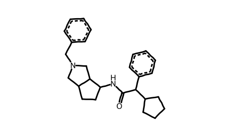 O=C(NC1CCC2CN(Cc3ccccc3)CC21)C(c1ccccc1)C1CCCC1